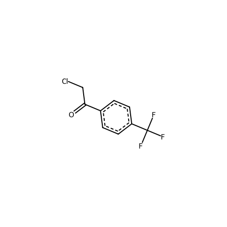 O=C(CCl)c1ccc(C(F)(F)F)cc1